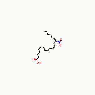 CCCCC/C=C(\C/C=C\C/C=C\C/C=C\CCCC(=O)O)[N+](=O)[O-]